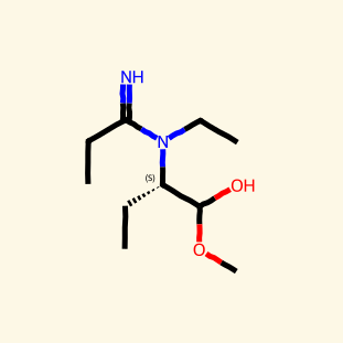 CCC(=N)N(CC)[C@@H](CC)C(O)OC